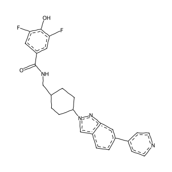 O=C(NCC1CCC(n2cc3ccc(-c4ccncc4)cc3n2)CC1)c1cc(F)c(O)c(F)c1